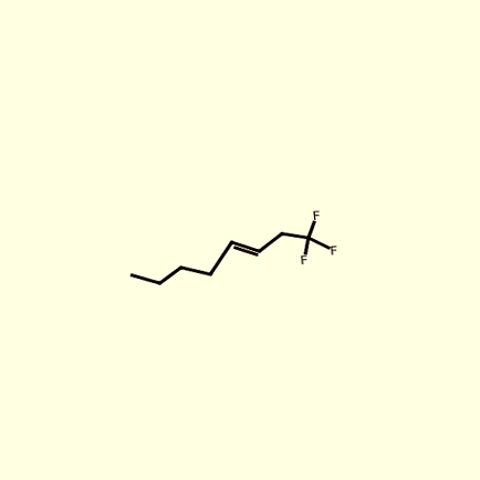 CCCC/C=C/CC(F)(F)F